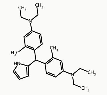 CCN(CC)c1ccc(C(c2ccc[nH]2)c2ccc(N(CC)CC)cc2C)c(C)c1